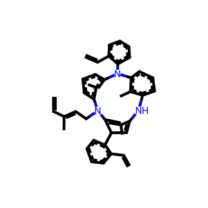 C=C/C(C)=C/CN1C2=C(C)C(=CC2c2ccccc2C=C)Nc2cccc(c2C)N(c2ccccc2C=C)c2cccc1c2C